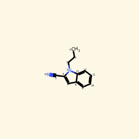 CCCn1c(C#N)cc2ccccc21